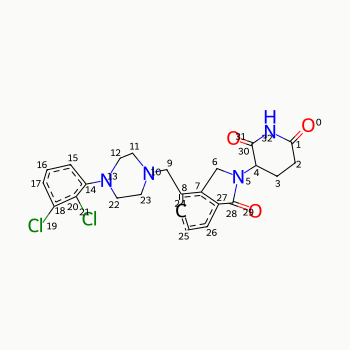 O=C1CCC(N2Cc3c(CN4CCN(c5cccc(Cl)c5Cl)CC4)cccc3C2=O)C(=O)N1